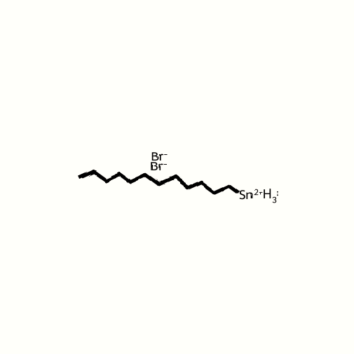 CCCCCCCCCCC[CH2][SnH3+2].[Br-].[Br-]